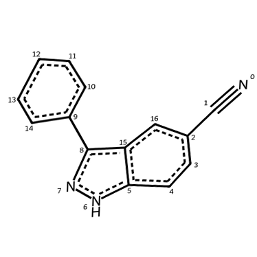 N#Cc1ccc2[nH]nc(-c3ccccc3)c2c1